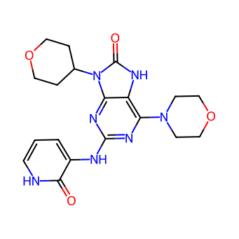 O=c1[nH]cccc1Nc1nc(N2CCOCC2)c2[nH]c(=O)n(C3CCOCC3)c2n1